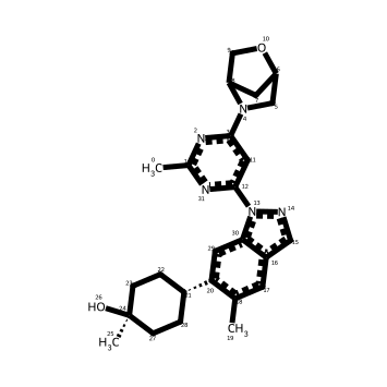 Cc1nc(N2CC3CC2CO3)cc(-n2ncc3cc(C)c([C@H]4CC[C@](C)(O)CC4)cc32)n1